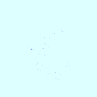 CN1CCN(CC(=O)Nc2nc3ccc(Oc4cccc(NC(=O)c5cccc(C(C)(C)C#N)c5)c4)c(C#N)c3s2)CC1